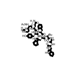 CC[C@H](C)[C@H](NC(=O)[C@H](Cc1c[nH]c2ccccc12)NC(=O)[C@H](Cc1ccccc1)NC(=O)[C@H](Cc1ccc(O)cc1)NC(=O)[C@H](CCC(N)=O)NC(=O)[C@H](CCCNC(=N)N)NC(C)=O)C(=O)N[C@@H](C)C(=O)N[C@@H](Cc1c[nH]c2ccccc12)C(N)=O